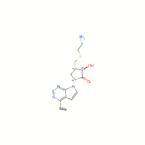 CNc1ncnc2c1ccn2[C@@H]1C[C@H](CSCCN)[C@@H](O)C1=O